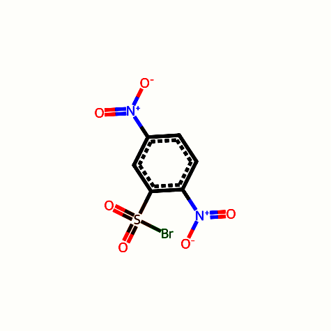 O=[N+]([O-])c1ccc([N+](=O)[O-])c(S(=O)(=O)Br)c1